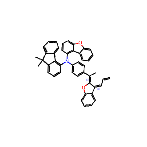 C=C/C=c1\c(=C(/C)c2ccc(N(c3cccc4c3-c3ccccc3C4(C)C)c3cccc4oc5ccccc5c34)cc2)oc2ccccc12